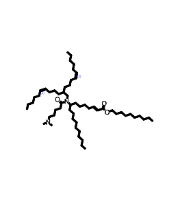 CCCCC/C=C\CCCC(CCC/C=C\CCCCC)CN(C(=O)CCCCN(C)C)C(CCCCC=CC(=O)OCCCCCCCCCC)CCCCCCCCCC